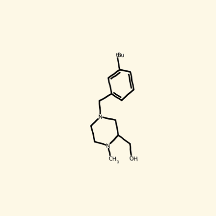 CN1CCN(Cc2cccc(C(C)(C)C)c2)CC1CO